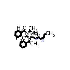 C=C/C=C\C=C\C(C)N(C(C)c1ccccc1)C(C)N(C(C)N)C(C)c1ccccc1